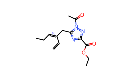 C=C/C(=C\CC)Cc1nc(C(=O)OCC)nn1C(C)=O